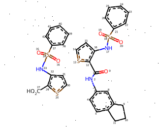 O=C(Nc1ccc2c(c1)CCC2)c1sccc1NS(=O)(=O)c1ccccc1.O=C(O)c1sccc1NS(=O)(=O)c1ccccc1